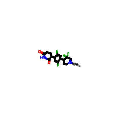 CN1CCC(c2cc(F)c(C3CCC(=O)NC3=O)cc2F)C(F)(F)C1